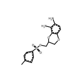 Cc1ccc(S(=O)(=O)OCC2COc3ccc(N)c(N)c3O2)cc1